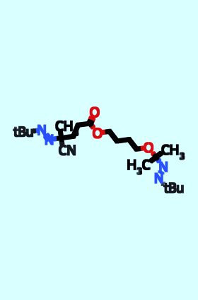 CC(C)(C)N=NC(C)(C#N)CCC(=O)OCCCCOC(C)(C)N=NC(C)(C)C